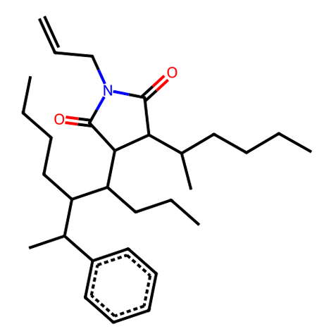 C=CCN1C(=O)C(C(C)CCCC)C(C(CCC)C(CCCC)C(C)c2ccccc2)C1=O